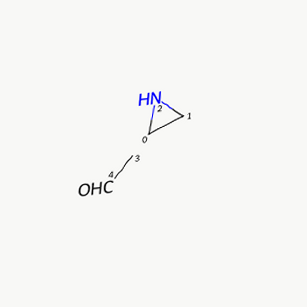 C1CN1.CC=O